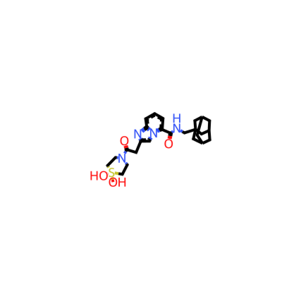 O=C(NCC12CC3CC(CC(C3)C1)C2)c1cccc2nc(CC(=O)N3CCS(O)(O)CC3)cn12